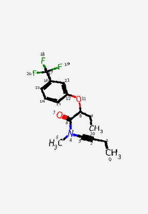 CCC#CN(C)C(=O)C(CC)Oc1cccc(C(F)(F)F)c1